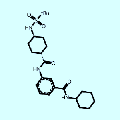 CC(C)(C)S(=O)(=O)N[C@H]1CC[C@H](C(=O)Nc2cccc(C(=O)NC3CCCCC3)c2)CC1